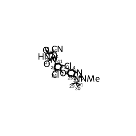 CNc1nc2ccc(Oc3c(Cl)cc(-n4nc(C#N)c(=O)[nH]c4=O)cc3Cl)cc2n1C1(C)CC1